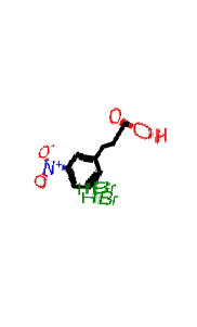 Br.Br.O=C(O)CCc1cccc([N+](=O)[O-])c1